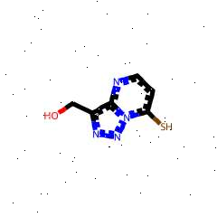 OCc1nnn2c(S)ccnc12